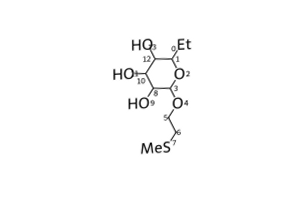 CCC1OC(OCCSC)C(O)C(O)C1O